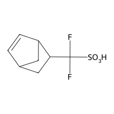 O=S(=O)(O)C(F)(F)C1CC2C=CC1C2